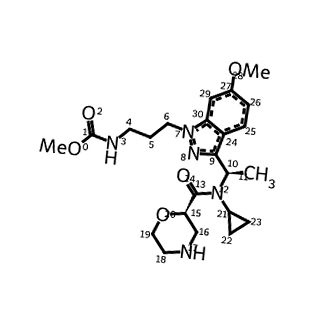 COC(=O)NCCCn1nc([C@@H](C)N(C(=O)[C@H]2CNCCO2)C2CC2)c2ccc(OC)cc21